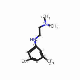 CCc1cc(NCCN(C)C)cc(C(F)(F)F)c1